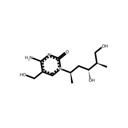 C[C@H](CO)[C@H](O)C[C@@H](C)n1cc(CO)c(N)nc1=O